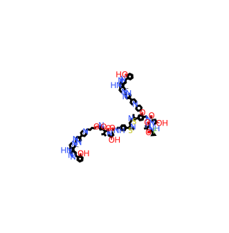 Cc1nc(Cc2ncsc2-c2ccc(CNC(=O)[C@@H]3C[C@@H](O)CN3C(=O)C(c3cc(OCCCCN4CCC(c5cnc(N6CCc7[nH]c8nnc(-c9ccccc9O)cc8c7[C@H]6C)nc5)CC4)no3)C(C)C)cc2)sc1-c1ccc(CNC(=O)[C@@H]2C[C@@H](O)CN2C(=O)[C@@H](NC(=O)C2(F)CC2)C(C)(C)C)c(O[C@H]2CC[C@@H](N3CCC(c4cnc(N5CCc6[nH]c7nnc(-c8ccccc8O)cc7c6[C@@H]5C)nc4)CC3)CC2)c1